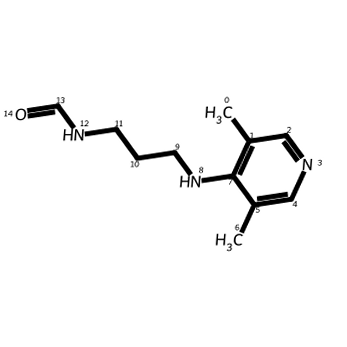 Cc1cncc(C)c1NCCCNC=O